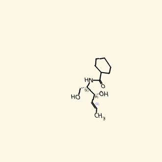 C/C=C/[C@@H](O)[C@H](CO)NC(=O)C1CCCCC1